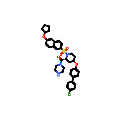 O=C([C@H]1C[C@H](Oc2ccc(-c3ccc(Cl)cc3)cc2)CCN1S(=O)(=O)c1ccc2cc(OC3CCCC3)ccc2c1)N1CCNCC1